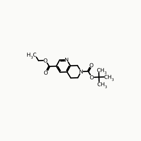 CCOC(=O)c1cnc2c(c1)CCN(C(=O)OC(C)(C)C)C2